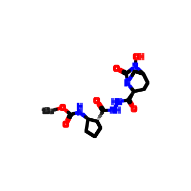 CC(C)(C)OC(=O)N[C@@H]1CCC[C@H]1C(=O)NNC(=O)[C@@H]1CCC2CN1C(=O)N2O